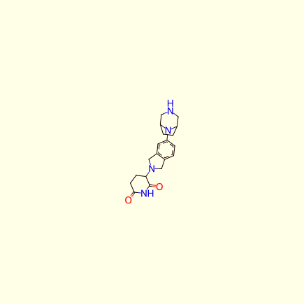 O=C1CCC(N2Cc3ccc(N4C5CCC4CNC5)cc3C2)C(=O)N1